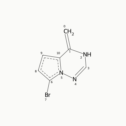 C=C1NC=Nn2c(Br)ccc21